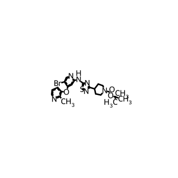 Cc1ncccc1Oc1cc(Nc2nc(C3CCN(C(=O)OC(C)(C)C)CC3)ns2)ncc1Br